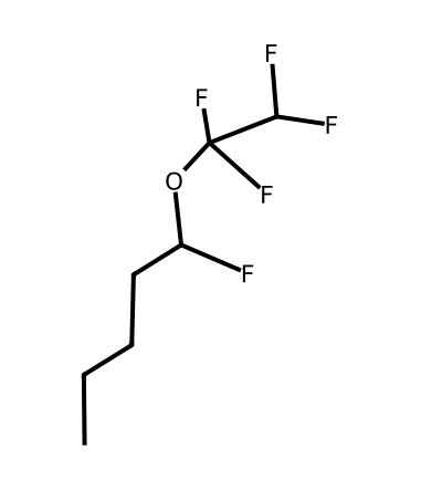 CCCCC(F)OC(F)(F)C(F)F